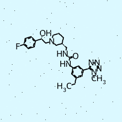 CCc1cc(NC(=O)NC[C@@H]2CCCN(C[C@@H](O)c3ccc(F)cc3)C2)cc(-c2nnnn2C)c1